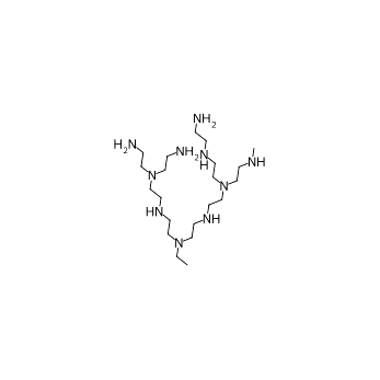 CCN(CCNCCN(CCN)CCN)CCNCCN(CCNC)CCNCCN